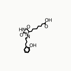 O=C(O)CCCCCCC1C(=O)NC(=O)N1N=CCCc1ccccc1O